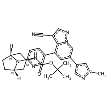 Cn1cc(-c2cc(-c3ccc(N4[C@@H]5CC[C@H]4C[C@H](NC(=O)OC(C)(C)C)C5)nc3)c3c(C#N)cnn3c2)cn1